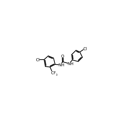 O=C(Nc1ccc(Cl)cc1)Nc1ccc(Cl)cc1C(F)(F)F